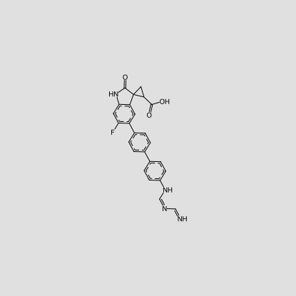 N=C/N=C\Nc1ccc(-c2ccc(-c3cc4c(cc3F)NC(=O)C43CC3C(=O)O)cc2)cc1